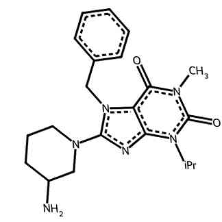 CC(C)n1c(=O)n(C)c(=O)c2c1nc(N1CCCC(N)C1)n2Cc1ccccc1